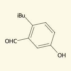 CCC(C)c1ccc(O)cc1C=O